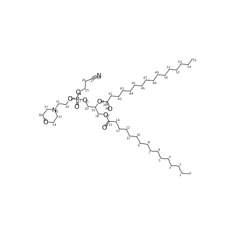 CCCCCCCCCCCCCCCC(=O)OCC(COP(=O)(OCCC#N)OCCN1CCOCC1)OC(=O)CCCCCCCCCCCCCCC